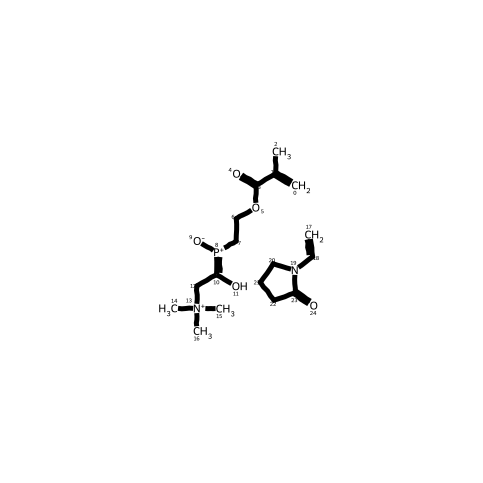 C=C(C)C(=O)OCC/[P+]([O-])=C(\O)C[N+](C)(C)C.C=CN1CCCC1=O